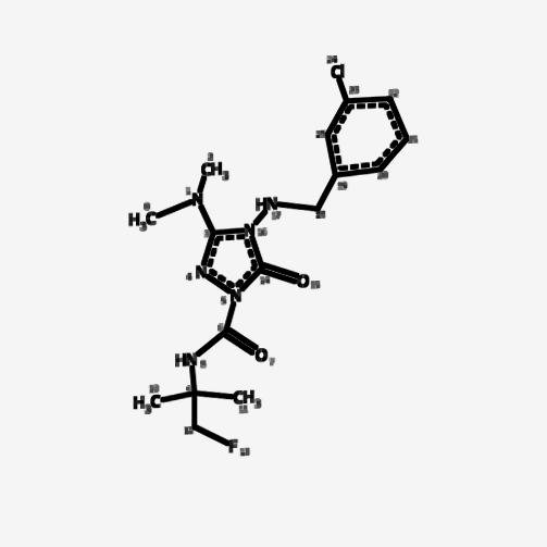 CN(C)c1nn(C(=O)NC(C)(C)CF)c(=O)n1NCc1cccc(Cl)c1